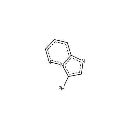 [2H]c1cnc2cccnn12